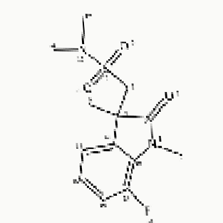 CN1C(=O)C(C)(CS(=O)(=O)N(C)C)c2cccc(F)c21